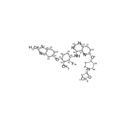 C=CC(=O)N1CCC(Oc2ccc3ncnc(Nc4ccc(Oc5ccc6sc(C)nc6c5)c(C)c4F)c3n2)CC1